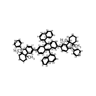 CC12CCCCC1(C)N(c1ccncc1)c1ccc(-c3ccc4c(-c5cccc6ccccc56)c5cc(-c6ccc7c(c6)C6(C)CCCCC6(C)N7c6ccncc6)ccc5c(-c5cccc6ccccc56)c4c3)cc12